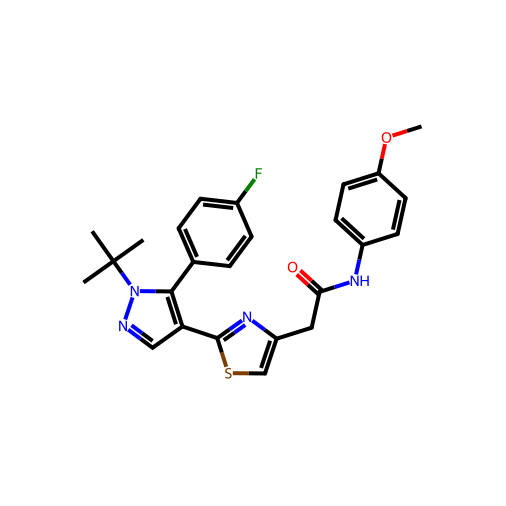 COc1ccc(NC(=O)Cc2csc(-c3cnn(C(C)(C)C)c3-c3ccc(F)cc3)n2)cc1